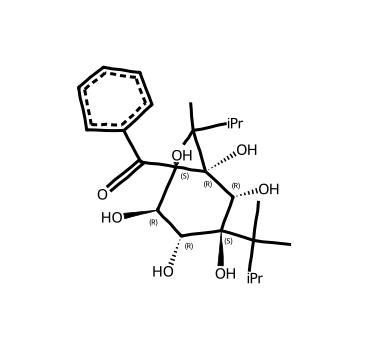 CC(C)C(C)(C)[C@]1(O)[C@H](O)[C@@H](O)[C@@](O)(C(=O)c2ccccc2)[C@@](O)(C(C)(C)C(C)C)[C@@H]1O